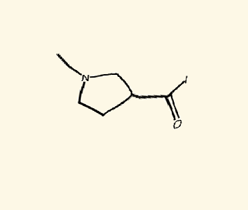 CN1CCC(C(=O)I)C1